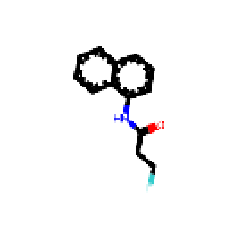 O=C(CCF)Nc1cccc2ccccc12